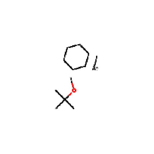 C1CCCCC1.CC(C)=O.COC(C)(C)C